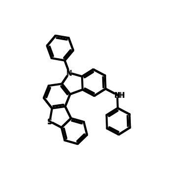 c1ccc(Nc2ccc3c(c2)c2c4c(ccc2n3-c2ccccc2)sc2ccccc24)cc1